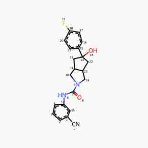 N#Cc1cccc(NC(=O)N2CC3CC(O)(c4ccc(F)cc4)CC3C2)c1